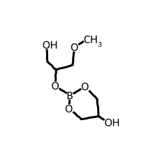 COCC(CO)OB1OCC(O)CO1